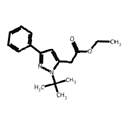 CCOC(=O)Cc1cc(-c2ccccc2)nn1C(C)(C)C